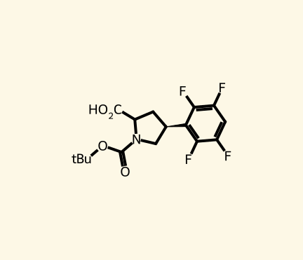 CC(C)(C)OC(=O)N1C[C@H](c2c(F)c(F)cc(F)c2F)CC1C(=O)O